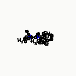 CC(C)(C)c1cc(-c2cccc(-c3cccc(C4=CCCC=C4)c3)c2)cc(-c2cc(-n3c4ccccc4c4cc(-c5ccc(N(c6ccc(-c7ccccc7)cc6)c6ccc7c(c6)C(C)(C)c6ccccc6-7)cc5)ccc43)cc(C(C)(C)C)c2)c1